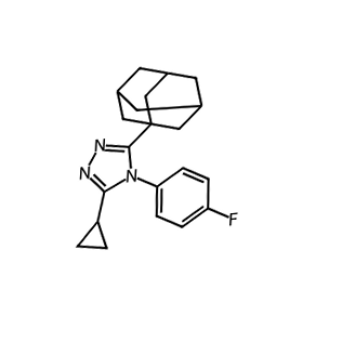 Fc1ccc(-n2c(C3CC3)nnc2C23CC4CC(CC(C4)C2)C3)cc1